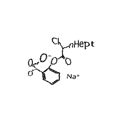 CCCCCCCC(Cl)C(=O)Oc1ccccc1S(=O)(=O)[O-].[Na+]